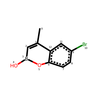 CC1=CB(O)Oc2ccc(Br)cc21